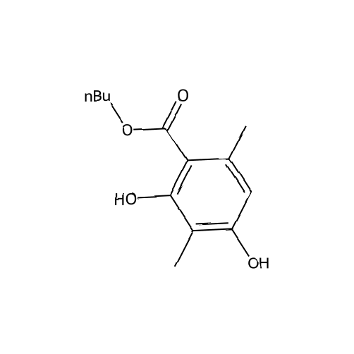 CCCCOC(=O)c1c(C)cc(O)c(C)c1O